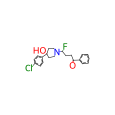 O=C(CCC(F)N1CCC(O)(c2ccc(Cl)cc2)CC1)c1ccccc1